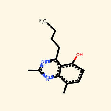 Cc1nc(CCCC(F)(F)F)c2c(O)ccc(C)c2n1